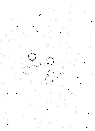 CCCS(=O)(=O)N1CCNCC1CCc1c(F)cccc1NC(=O)CC(c1ccc(Cl)cc1)C1CCCCC1